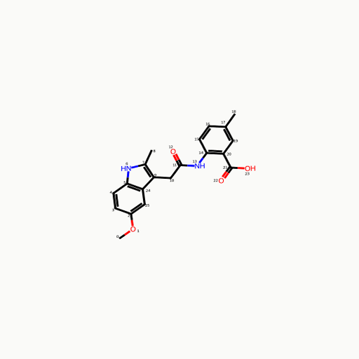 COc1ccc2[nH]c(C)c(CC(=O)Nc3ccc(C)cc3C(=O)O)c2c1